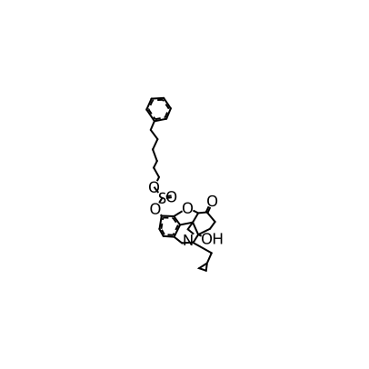 O=C1CCC2(O)C3Cc4ccc(OS(=O)OCCCCCCc5ccccc5)c5c4C2(CCN3CC2CC2)C1O5